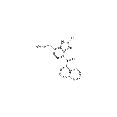 CCCCCOc1ccc(C(=O)c2cccc3ccccc23)c2[nH]c(Cl)nc12